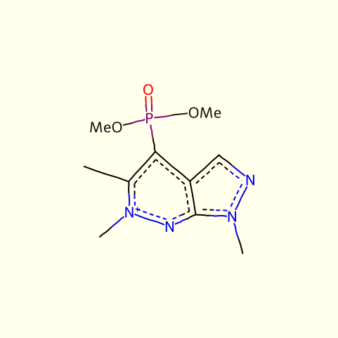 COP(=O)(OC)c1c(C)[n+](C)nc2c1cnn2C